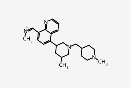 C/N=C\c1ccc(C2CC(C)CN(CC3CCN(C)CC3)C2)c2cccnc12